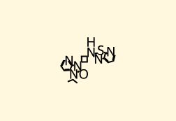 CC(C)n1c(=O)n(C2CC(Nc3nc4cccnc4s3)C2)c2ncccc21